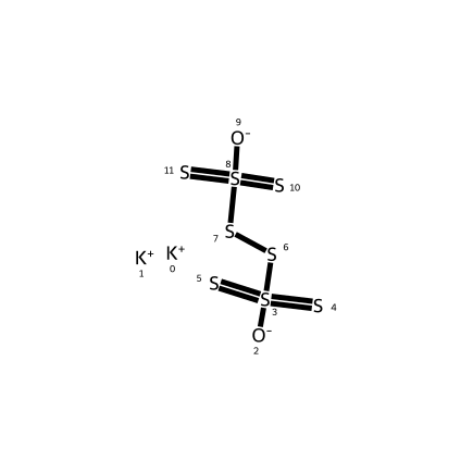 [K+].[K+].[O-]S(=S)(=S)SSS([O-])(=S)=S